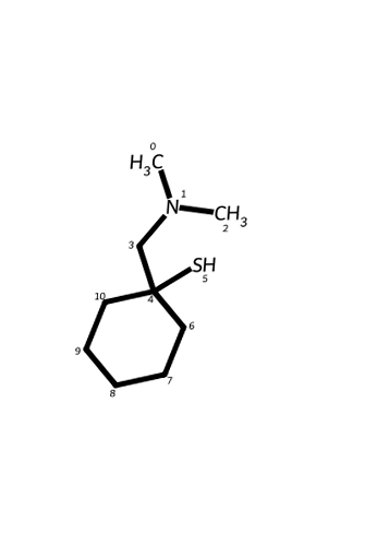 CN(C)CC1(S)CCCCC1